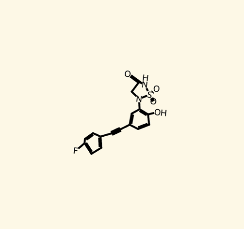 O=C1CN(c2cc(C#Cc3ccc(F)cc3)ccc2O)S(=O)(=O)N1